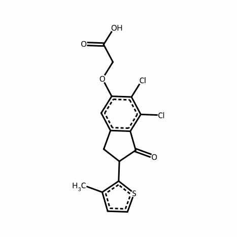 Cc1ccsc1C1Cc2cc(OCC(=O)O)c(Cl)c(Cl)c2C1=O